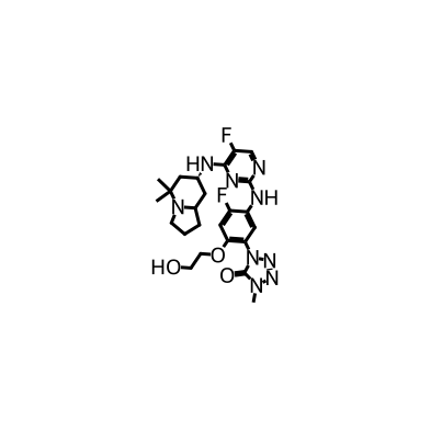 Cn1nnn(-c2cc(Nc3ncc(F)c(N[C@@H]4CC5CCCN5C(C)(C)C4)n3)c(F)cc2OCCO)c1=O